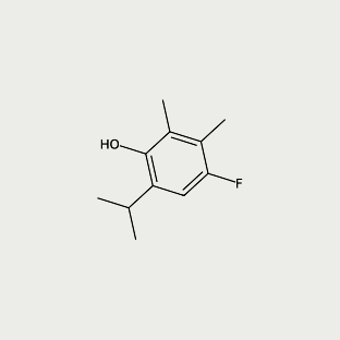 Cc1c(F)cc(C(C)C)c(O)c1C